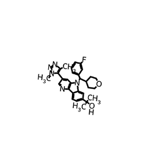 Cc1nnn(C)c1-c1cnc2c3ccc(C(C)(C)O)cc3n(C(c3cccc(F)c3)C3CCOCC3)c2c1